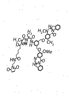 COc1cc2c(cc1OCc1cc(COc3cc4c(cc3C)C(=O)N3c5ccccc5C[C@H]3CN4C)cc(NC(=O)[C@H](C)NC(=O)[C@H](C)NC(=O)CCCCC(=O)NCCN3C(=O)C=CC3=O)c1)N=C[C@@H]1Cc3ccccc3N1C2=O